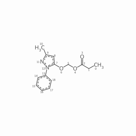 CCC(=O)OCOc1cc(C)nn1-c1ccccc1